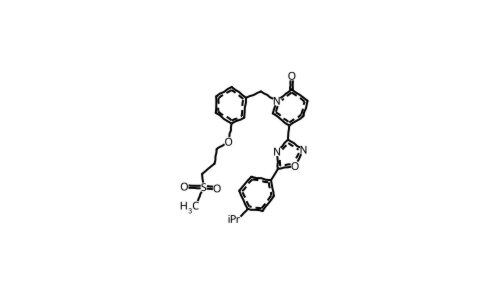 CC(C)c1ccc(-c2nc(-c3ccc(=O)n(Cc4cccc(OCCCS(C)(=O)=O)c4)c3)no2)cc1